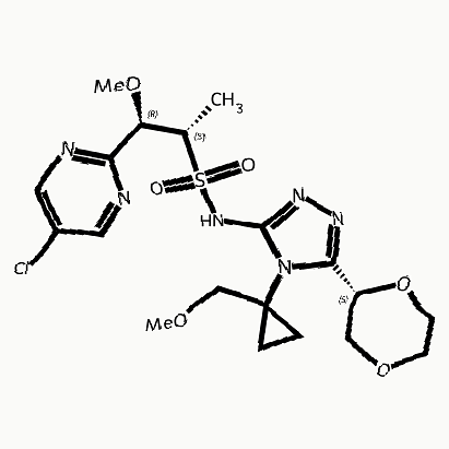 COCC1(n2c(NS(=O)(=O)[C@@H](C)[C@H](OC)c3ncc(Cl)cn3)nnc2[C@H]2COCCO2)CC1